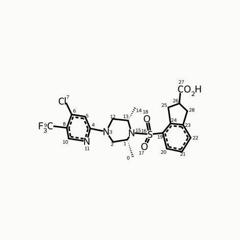 C[C@@H]1CN(c2cc(Cl)c(C(F)(F)F)cn2)C[C@H](C)N1S(=O)(=O)c1cccc2c1CC(C(=O)O)C2